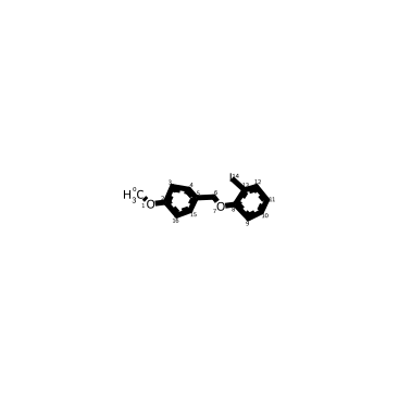 COc1ccc(COc2ccccc2I)cc1